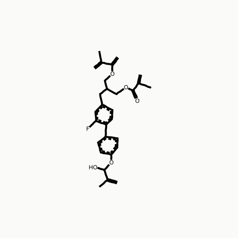 C=C(C)C(=C)OCC(COC(=O)C(=C)C)Cc1ccc(-c2ccc(OC(O)C(=C)C)cc2)c(F)c1